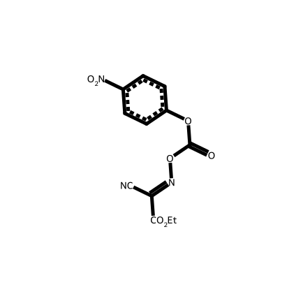 CCOC(=O)C(C#N)=NOC(=O)Oc1ccc([N+](=O)[O-])cc1